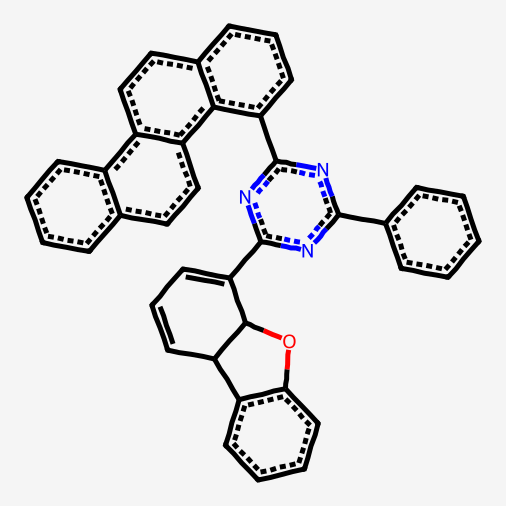 C1=CC2c3ccccc3OC2C(c2nc(-c3ccccc3)nc(-c3cccc4ccc5c6ccccc6ccc5c34)n2)=C1